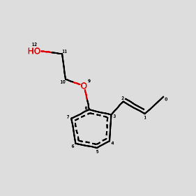 CC=Cc1ccccc1OCCO